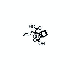 CCOCC(O)(C(=O)O)C1C2C=CC(C2)C1C(=O)O